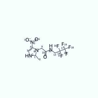 CC1NC=C([N+](=O)[O-])N1CC(=O)NCC(F)(F)C(F)(F)F